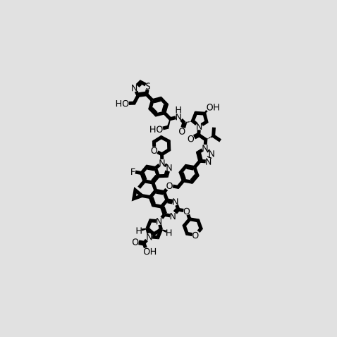 Cc1c(F)cc2c(cnn2C2CCCCO2)c1-c1c(C2CC2)cc2c(N3C[C@@H]4C[C@H]3CN4C(=O)O)nc(OC3CCOCC3)nc2c1OCc1ccc(-c2cn([C@H](C(=O)N3C[C@H](O)C[C@H]3C(=O)N[C@@H](CO)c3ccc(-c4scnc4CO)cc3)C(C)C)nn2)cc1